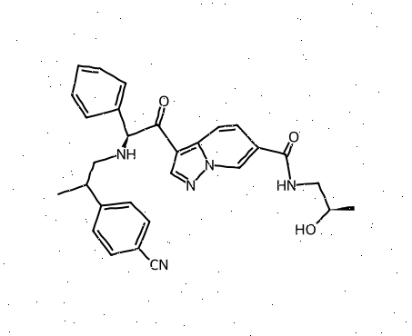 CC(CN[C@H](C(=O)c1cnn2cc(C(=O)NC[C@@H](C)O)ccc12)c1ccccc1)c1ccc(C#N)cc1